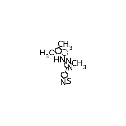 Cc1cc(C)c2c(c1)C(Nc1cc(-c3ccc4ncsc4c3)nc(C)n1)CCC2